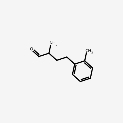 Cc1ccccc1CCC(N)[C]=O